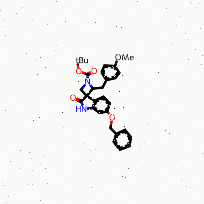 COc1ccc(CC2N(C(=O)OC(C)(C)C)CC23C(=O)Nc2cc(OCc4ccccc4)ccc23)cc1